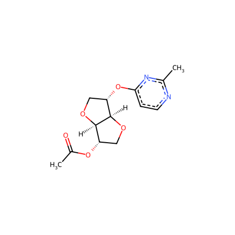 CC(=O)O[C@H]1CO[C@H]2[C@@H]1OC[C@@H]2Oc1ccnc(C)n1